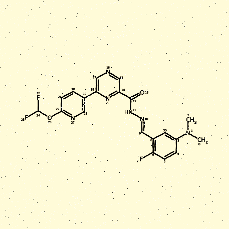 CN(C)c1ccc(F)c(/C=N/NC(=O)c2cncc(-c3ccc(OC(F)F)nc3)n2)c1